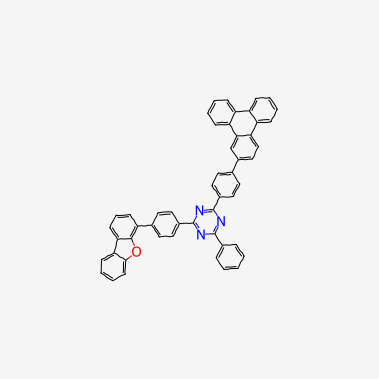 c1ccc(-c2nc(-c3ccc(-c4ccc5c6ccccc6c6ccccc6c5c4)cc3)nc(-c3ccc(-c4cccc5c4oc4ccccc45)cc3)n2)cc1